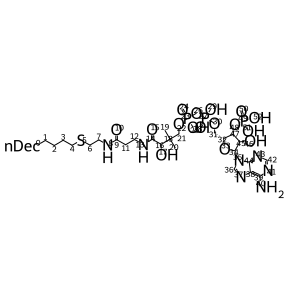 CCCCCCCCCCCCCCSCCNC(=O)CCNC(=O)C(O)C(C)(C)COP(=O)(O)OP(=O)(O)OC[C@H]1O[C@@H](n2cnc3c(N)ncnc32)[C@H](O)[C@@H]1OP(=O)(O)O